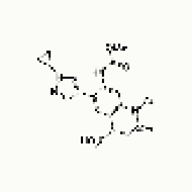 COC(=O)Nc1cc2c(cc1-c1cnn(C3CC3)c1)N(C(=O)O)C[C@H](C)N2C(C)=O